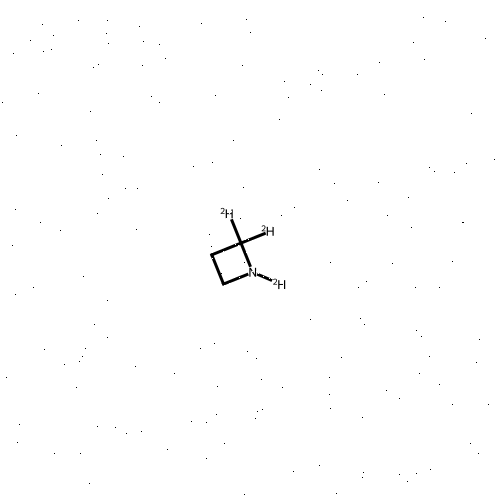 [2H]N1CCC1([2H])[2H]